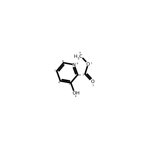 COC=O.Oc1cccnc1